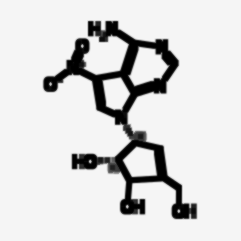 Nc1ncnc2c1c([N+](=O)[O-])cn2[C@@H]1C=C(CO)C(O)[C@@H]1O